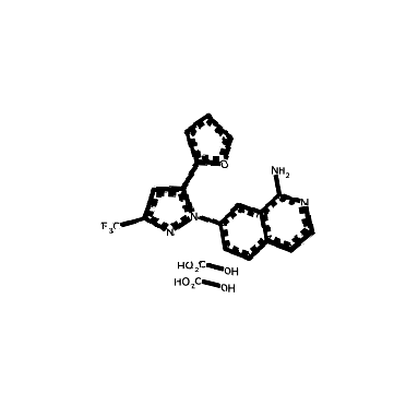 Nc1nccc2ccc(-n3nc(C(F)(F)F)cc3-c3ccco3)cc12.O=C(O)O.O=C(O)O